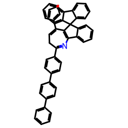 C1=C(c2ccccc2)C2=C(N=C(c3ccc(-c4ccc(-c5ccccc5)cc4)cc3)C1)c1ccccc1C21c2ccccc2-c2ccccc21